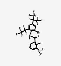 O=C(Nc1c(Br)cc(C(F)(C(F)(F)F)C(F)(F)F)cc1C(F)(F)C(F)(F)F)c1cccc([N+](=O)[O-])c1Cl